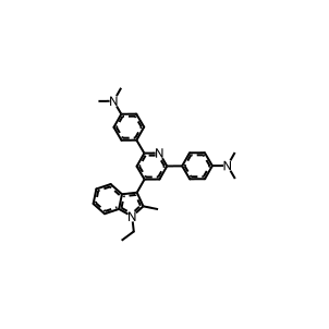 CCn1c(C)c(-c2cc(-c3ccc(N(C)C)cc3)nc(-c3ccc(N(C)C)cc3)c2)c2ccccc21